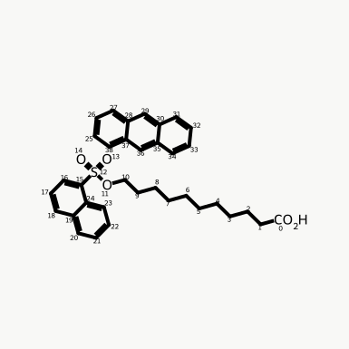 O=C(O)CCCCCCCCCCOS(=O)(=O)c1cccc2ccccc12.c1ccc2cc3ccccc3cc2c1